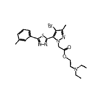 CCN(CC)CCOC(=O)Cn1nc(C)c(Br)c1-c1nnc(-c2cccc(C)c2)s1